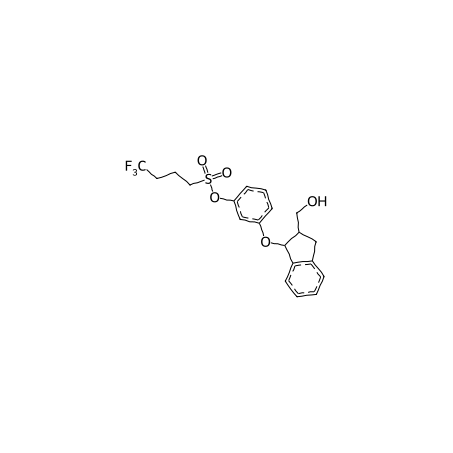 O=S(=O)(CCCC(F)(F)F)Oc1cccc(OC2c3ccccc3CC2CO)c1